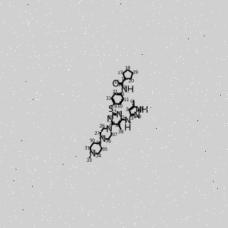 Cc1cc(Nc2nc(Sc3ccc(NC(=O)C4CCCC4)cc3)nc(N3CCN(C4CCN(C)CC4)CC3)c2C)n[nH]1